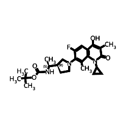 Cc1c(O)c2cc(F)c(N3CC[C@@H]([C@H](C)NC(=O)OC(C)(C)C)C3)c(C)c2n(C2CC2)c1=O